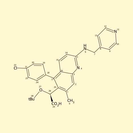 Cc1cc2nc(NCc3ccncc3)ccc2c(-c2ccc(Cl)cc2)c1[C@H](OC(C)(C)C)C(=O)O